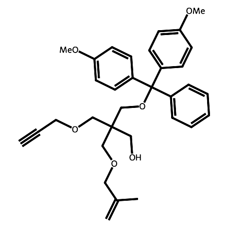 C#CCOCC(CO)(COCC(=C)C)COC(c1ccccc1)(c1ccc(OC)cc1)c1ccc(OC)cc1